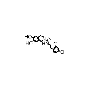 Oc1cc2c(cc1O)CN(C(=S)NCCc1ccc(Cl)cc1Cl)CC2